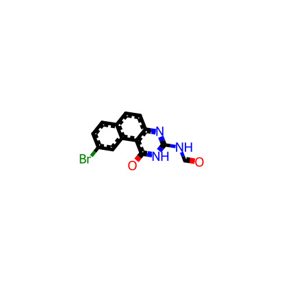 O=CNc1nc2ccc3ccc(Br)cc3c2c(=O)[nH]1